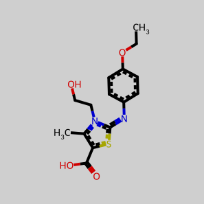 CCOc1ccc(N=c2sc(C(=O)O)c(C)n2CCO)cc1